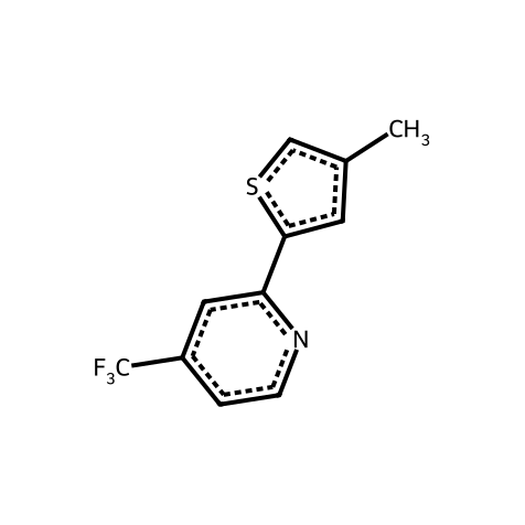 Cc1csc(-c2cc(C(F)(F)F)ccn2)c1